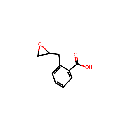 O=C(O)c1ccccc1CC1CO1